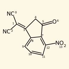 N#CC(C#N)=C1CC(=O)c2c1cccc2[N+](=O)[O-]